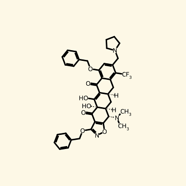 CN(C)[C@@H]1c2onc(OCc3ccccc3)c2C(=O)[C@@]2(O)C(O)=C3C(=O)c4c(OCc5ccccc5)cc(CN5CCCC5)c(C(F)(F)F)c4C[C@H]3C[C@@H]12